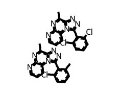 Cc1cccc(Cl)c1-c1nnc2c(C)nc3ncccc3n12.Cc1nc2ncccc2n2c(-c3c(Cl)cccc3Cl)nnc12